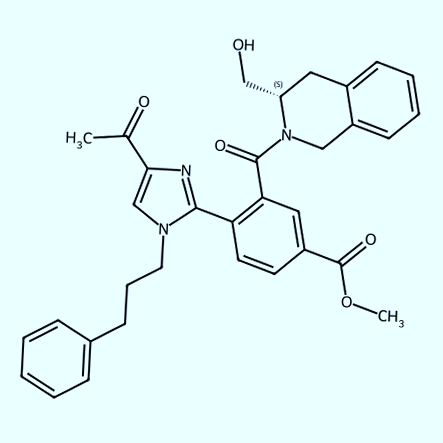 COC(=O)c1ccc(-c2nc(C(C)=O)cn2CCCc2ccccc2)c(C(=O)N2Cc3ccccc3C[C@H]2CO)c1